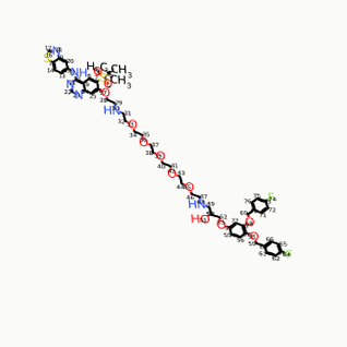 CC(C)(C)S(=O)(=O)c1cc2c(Nc3ccc4scnc4c3)ncnc2cc1OCCNCCOCCOCCOCCOCCOCCNC[C@@H](O)COc1ccc(OCc2ccc(F)cc2)c(OCc2ccc(F)cc2)c1